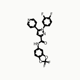 O=C(Nc1ccc2c(c1)OC(F)(F)O2)c1cc(-c2ccncc2)n(-c2ccc(F)c(F)c2)n1